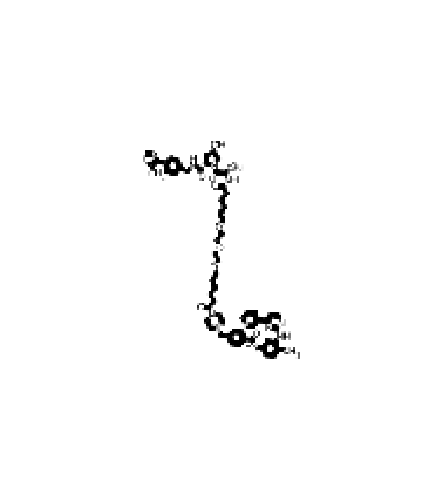 Cc1ccc(NC(=O)c2ccc(CN3CCN(C(=O)CCCCCOCCOCCOCCCCCC(=O)NC(C(=O)N4C[C@H](O)C[C@H]4C(=O)NCc4ccc(-c5scnc5C)cc4)C(C)(C)C)CC3)cc2)cc1Nc1nccc(-c2cccnc2)n1